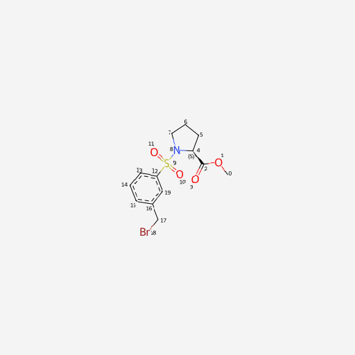 COC(=O)[C@@H]1CCCN1S(=O)(=O)c1cccc(CBr)c1